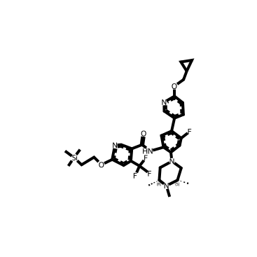 C[C@@H]1CN(c2cc(F)c(-c3ccc(OCC4CC4)nc3)cc2NC(=O)c2cnc(OCC[Si](C)(C)C)cc2C(F)(F)F)C[C@H](C)N1C